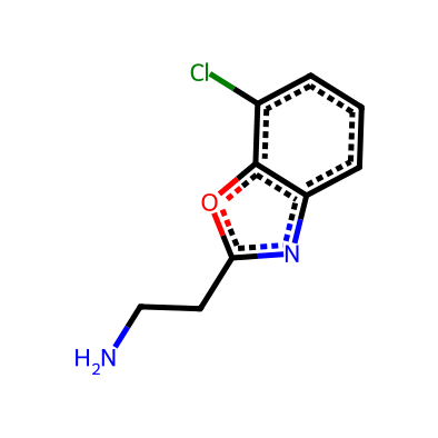 NCCc1nc2cccc(Cl)c2o1